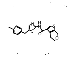 Cc1ccc(Cc2cnc(NC(=O)c3csc4c3CCOC4)s2)cc1